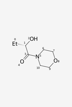 CC[C@H](O)C(=O)N1CCOCC1